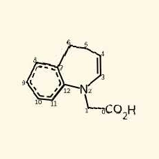 O=C(O)CN1C=CCCc2ccccc21